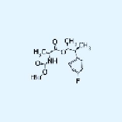 C[C@H](NC(=O)OC(C)(C)C)C(=O)O[C@@H](C)[C@@H](C)c1ccc(F)cc1